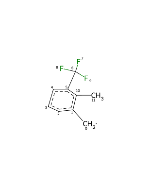 [CH2]c1cccc(C(F)(F)F)c1C